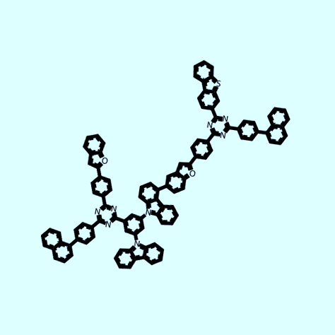 c1ccc2oc(-c3ccc(-c4nc(-c5ccc(-c6cccc7ccccc67)cc5)nc(-c5cc(-n6c7ccccc7c7ccccc76)cc(-n6c7ccccc7c7c(-c8ccc9oc(-c%10ccc(-c%11nc(-c%12ccc(-c%13cccc%14ccccc%13%14)cc%12)nc(-c%12ccc%13c(c%12)sc%12ccccc%12%13)n%11)cc%10)cc9c8)cccc76)c5)n4)cc3)cc2c1